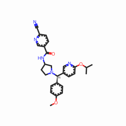 COc1ccc([C@H](c2ccc(OC(C)C)nc2)N2CCC(NC(=O)c3ccc(C#N)nc3)C2)cc1